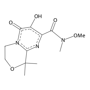 CON(C)C(=O)c1nc2n(c(=O)c1O)CCOC2(C)C